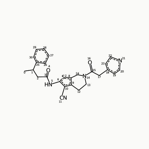 CC(CC(=O)Nc1sc2c(c1C#N)CCN(C(=O)Cc1ccncc1)C2)c1ccccc1